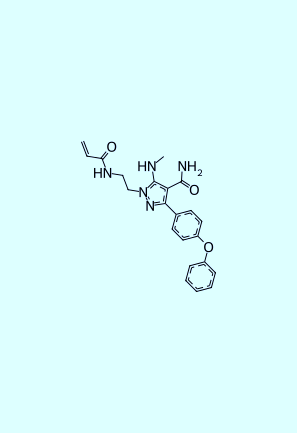 C=CC(=O)NCCn1nc(-c2ccc(Oc3ccccc3)cc2)c(C(N)=O)c1NC